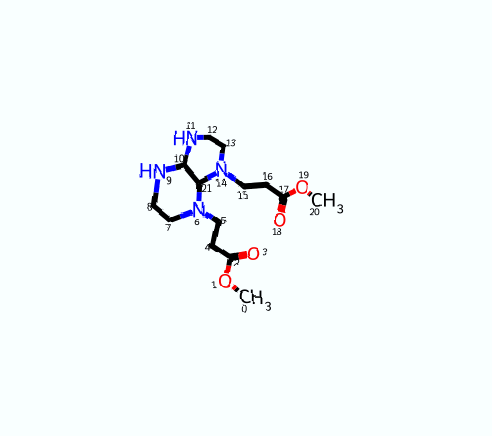 COC(=O)CCN1CCNC2NCCN(CCC(=O)OC)C21